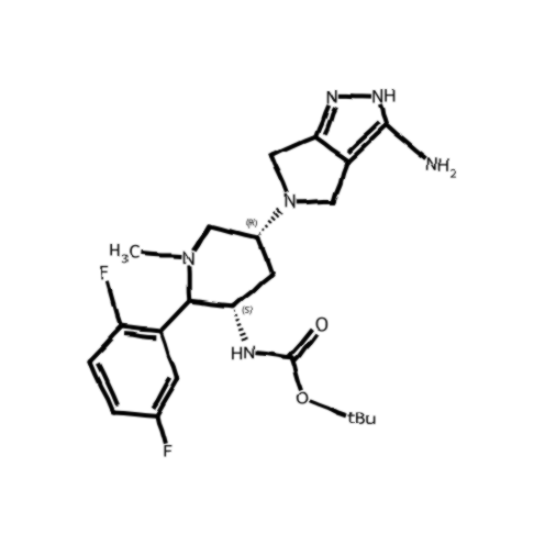 CN1C[C@H](N2Cc3n[nH]c(N)c3C2)C[C@H](NC(=O)OC(C)(C)C)C1c1cc(F)ccc1F